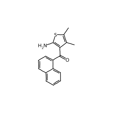 Cc1sc(N)c(C(=O)c2cccc3ccccc23)c1C